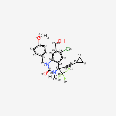 COc1ccc(CN2C(=O)N(C)C(C#CC3CC3)(C(F)(F)F)c3cc(Cl)c(CO)cc32)cc1